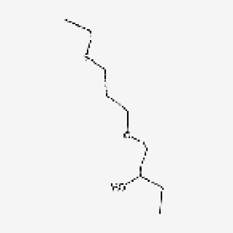 CCSCCCOCC(O)CC